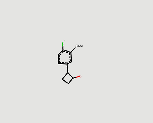 COc1cc(C2CCC2[O])ccc1Cl